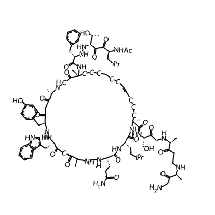 CC(=O)N[C@@H](CC(C)C)C(=O)C(=O)[C@@H](NN[C@@H](Cc1ccccc1)C(=O)N[C@]1(C)CCCCCC/C=C/CCC[C@@](C)(C(=O)N[C@@H](CO)C(=O)CN[C@@H](C)C(=O)CCN[C@@H](C)C(=O)CN)NC(=O)[C@H](CCC(C)C)NC(=O)[C@H](CCC(N)=O)NCN[C@@H](C)C(=O)CC(=O)[C@H](Cc2c[nH]c3ccccc23)NN[C@@H](Cc2ccc(O)cc2)C(=O)CC(=O)[C@H](C)NCC1=O)[C@@H](C)O